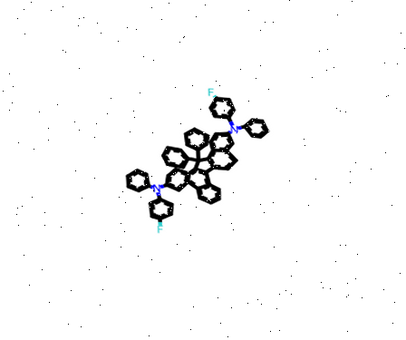 Fc1ccc(N(c2ccccc2)c2ccc3c4c(ccc3c2)-c2c(c3ccc(N(c5ccccc5)c5ccc(F)cc5)cc3c3ccccc23)C4(c2ccccc2)c2ccccc2)cc1